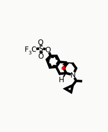 CC(C1CC1)N1CC[C@]23CCCCC2[C@H]1Cc1ccc(OS(=O)(=O)C(F)(F)F)cc13